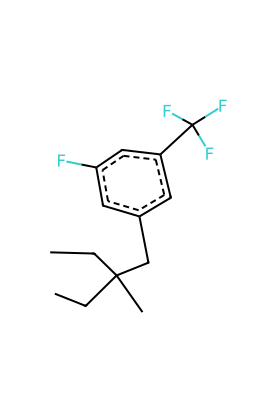 CCC(C)(CC)Cc1cc(F)cc(C(F)(F)F)c1